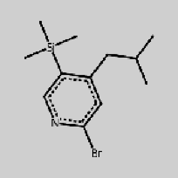 CC(C)Cc1cc(Br)ncc1[Si](C)(C)C